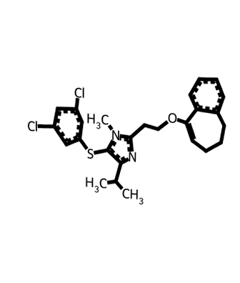 CC(C)c1nc(CCOC2=CCCCc3ccccc32)n(C)c1Sc1cc(Cl)cc(Cl)c1